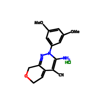 COc1cc(OC)cc(N2N=C3COCC=C3C(C#N)=C2N)c1.Cl